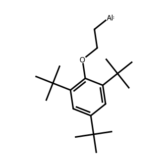 CC(C)(C)c1cc(C(C)(C)C)c(OC[CH2][Al])c(C(C)(C)C)c1